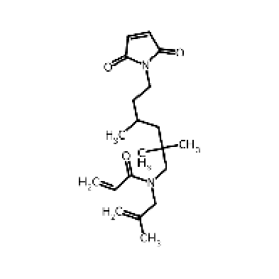 C=CC(=O)N(CC(=C)C)CC(C)(C)CC(C)CCN1C(=O)C=CC1=O